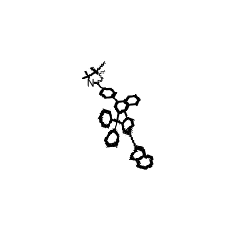 CC1(C)N=C(c2ccc(-c3cc4c(c5ccccc35)-c3ccc(-c5ccc6ccccc6c5)cc3C4(c3ccccc3)c3ccccc3)cc2)SC1(C)C